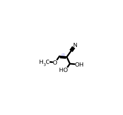 CO/C=C(/C#N)C(O)O